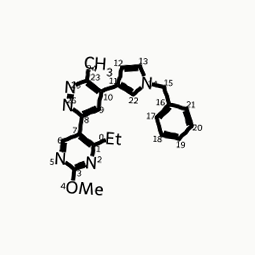 CCc1nc(OC)ncc1-c1cc(-c2ccn(Cc3ccccc3)c2)c(C)nn1